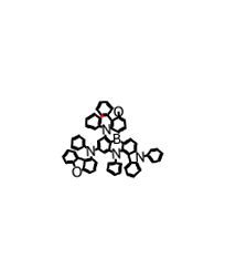 c1ccc(N(c2cc3c4c(c2)N(c2ccccc2)c2c(ccc5c2c2ccccc2n5-c2ccccc2)B4c2ccc4oc5ccccc5c4c2N3c2ccccc2)c2cccc3oc4ccccc4c23)cc1